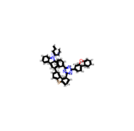 C=C/C=C(\C=C/C)n1c2ccccc2c2cc(-c3ccc4sc5cccc(-c6nc(-c7ccccc7)nc(-c7ccc8c(c7)oc7ccccc78)n6)c5c4c3)ccc21